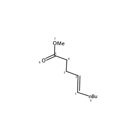 [CH2]CCCC=CCCC(=O)OC